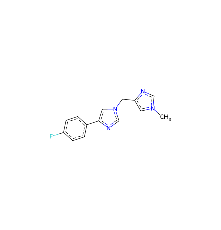 Cn1cnc(Cn2cnc(-c3ccc(F)cc3)c2)c1